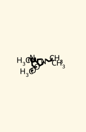 COC1Cc2c(cnn2C)C2(CCN(CCC(C)C)CC2)O1